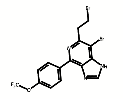 FC(F)(F)Oc1ccc(-c2nc(CCBr)c(Br)c3[nH]cnc23)cc1